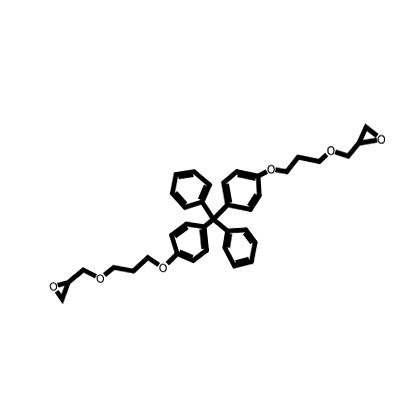 c1ccc(C(c2ccccc2)(c2ccc(OCCCOCC3CO3)cc2)c2ccc(OCCCOCC3CO3)cc2)cc1